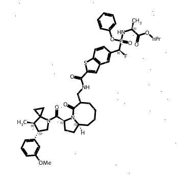 CCCOC(=O)[C@H](C)NP(=O)(Oc1ccccc1)[C@@H](F)c1ccc2sc(C(=O)NCC3CCCC[C@H]4CC[C@@H](C(=O)N5C[C@H](c6cccc(OC)c6)[C@@H](C)C56CC6)N4C3=O)cc2c1